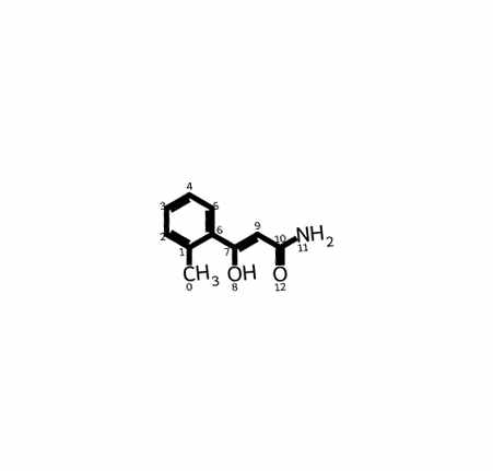 Cc1ccccc1C(O)=CC(N)=O